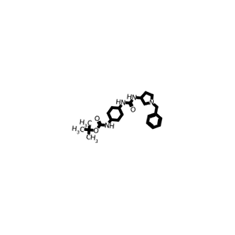 CC(C)(C)OC(=O)NC1CCC(NC(=O)NC2CCN(Cc3ccccc3)C2)CC1